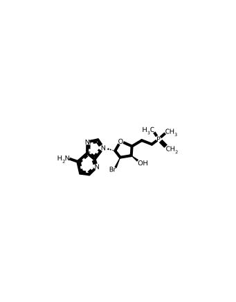 C=P(C)(C)CCC1O[C@@H](n2cnc3c(N)ccnc32)[C@H](Br)[C@@H]1O